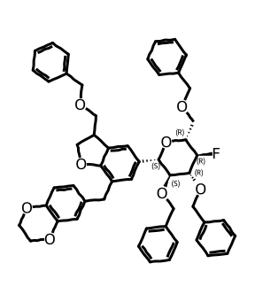 F[C@H]1[C@H](OCc2ccccc2)[C@@H](OCc2ccccc2)[C@H](c2cc(Cc3ccc4c(c3)OCCO4)c3c(c2)C(COCc2ccccc2)CO3)O[C@@H]1COCc1ccccc1